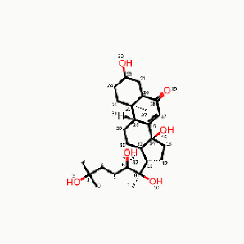 CC(C)(O)CCC(O)[C@](C)(O)[C@H]1CC[C@@]2(O)C3=CC(=O)C4CC(O)CC[C@]4(C)[C@H]3CC[C@]12C